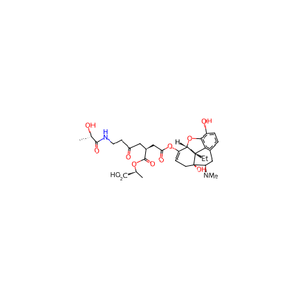 CC[C@]12c3c4ccc(O)c3O[C@H]1C(OC(=O)C[C@H](CC(=O)CCNC(=O)[C@H](C)O)C(=O)O[C@@H](C)C(=O)O)=CC[C@@]2(O)[C@H](NC)C4